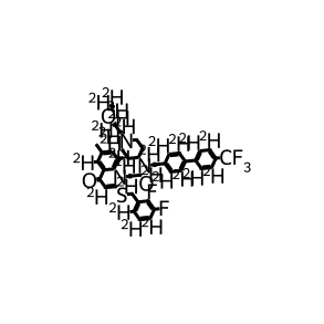 [2H]c1c([2H])c(F)c(F)c(CSc2c([2H])c(=O)c3c([2H])c(C)c([2H])c([2H])c3n2C([2H])([2H])C(=O)N(C2CCN(C([2H])([2H])C([2H])([2H])OC([2H])([2H])[2H])CC2)C([2H])([2H])c2c([2H])c([2H])c(-c3c([2H])c([2H])c(C(F)(F)F)c([2H])c3[2H])c([2H])c2[2H])c1[2H]